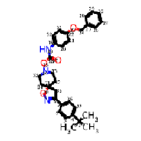 CC(C)(C)c1ccc(C2=NOC3(CCN(OC(=O)Nc4ccc(OCc5ccccc5)cc4)CC3)C2)cc1